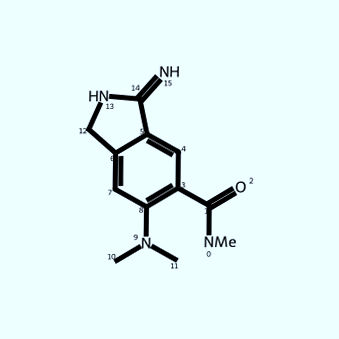 CNC(=O)c1cc2c(cc1N(C)C)CNC2=N